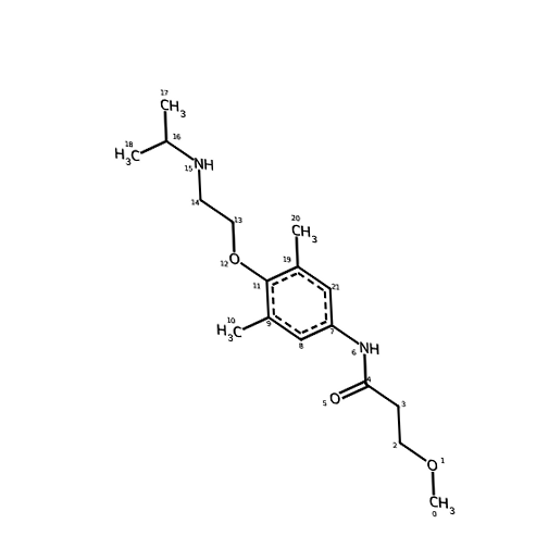 COCCC(=O)Nc1cc(C)c(OCCNC(C)C)c(C)c1